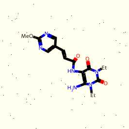 CCn1c(N)c(NC(=O)/C=C/c2cnc(OC)nc2)c(=O)n(CC)c1=O